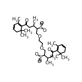 CC1=C(C(=O)CC(C)C(COCCOCC(C(C)CC(=O)C2=C(C)C=CCC2(C)C)[SH](=O)=O)[SH](=O)=O)C(C)(C)CC=C1